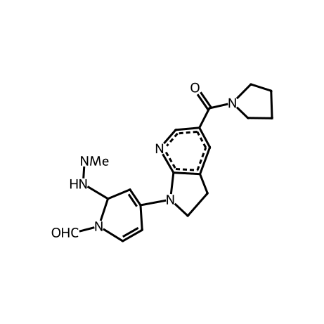 CNNC1C=C(N2CCc3cc(C(=O)N4CCCC4)cnc32)C=CN1C=O